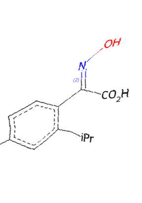 CC(C)c1ccc(/C(=N/O)C(=O)O)c(C(C)C)c1